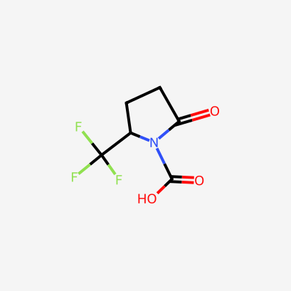 O=C(O)N1C(=O)CCC1C(F)(F)F